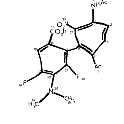 CC(=O)Nc1ccc(C(C)=O)c(-c2c(C(=O)O)cc(F)c(N(C)C)c2F)c1[N+](=O)[O-]